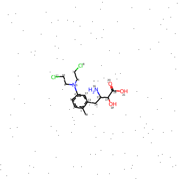 Cc1ccc(N(CCCl)CCCl)cc1CC(N)C(O)C(=O)O